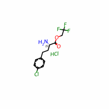 Cl.N[C@@H](CCc1ccc(Cl)cc1)C(=O)OCC(F)(F)F